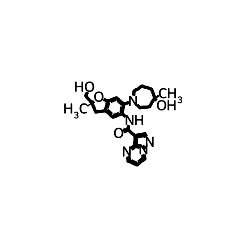 C[C@]1(O)CCCN(c2cc3c(cc2NC(=O)c2cnn4cccnc24)C[C@@](C)(CO)O3)CC1